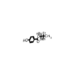 CCCCC(CCC)(OC(=O)c1ccc(O)cc1)C(C)(CC)CC